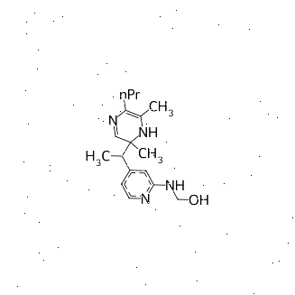 CCCC1=C(C)NC(C)(C(C)c2ccnc(NCO)c2)C=N1